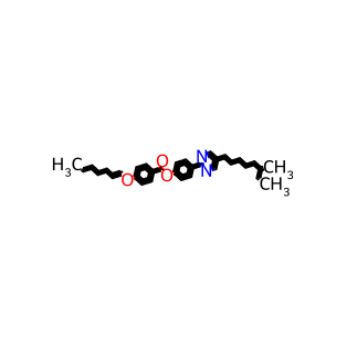 CCCCCC=COc1ccc(C(=O)Oc2ccc(-c3ncc(CCCCCC(C)CC)cn3)cc2)cc1